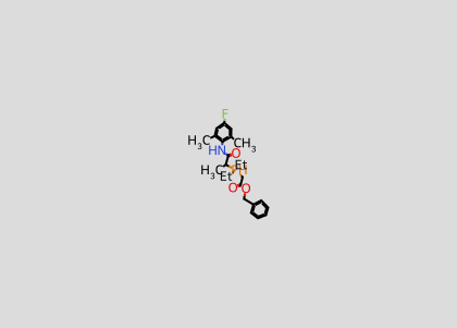 CC[PH](CC)(CC(=O)OCc1ccccc1)C(C)C(=O)Nc1c(C)cc(F)cc1C